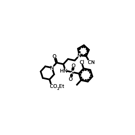 CCOC(=O)C1CCCN(C(=O)C(CCn2cccc2C#N)NS(=O)(=O)c2c(C)cccc2Cl)C1